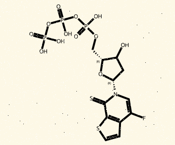 O=P(O)(O)OP(=O)(O)OP(=O)(O)OC[C@H]1O[C@@H](n2cc(F)c3ccsc3c2=S)CC1O